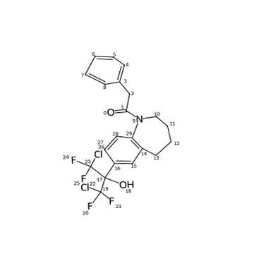 O=C(Cc1ccccc1)N1CCCCc2cc(C(O)(C(F)(F)Cl)C(F)(F)Cl)ccc21